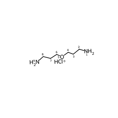 Cl.NCCCOCCCN